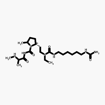 CCN(CC[C@H]1CCC(C)N1C(=O)NC(=O)C(C)NC)C(=O)NCCCCCCNC(N)=O